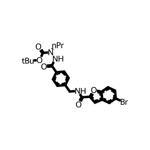 CCCN(NC(=O)c1ccc(CNC(=O)c2cc3cc(Br)ccc3o2)cc1)C(=O)OC(C)(C)C